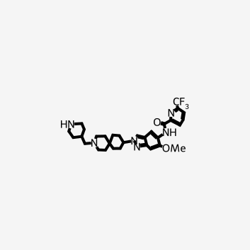 COc1cc2nn(C3CCC4(CC3)CCN(CC3CCNCC3)CC4)cc2cc1NC(=O)c1cccc(C(F)(F)F)n1